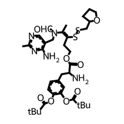 CC(=C(CCOC(=O)C(N)Cc1ccc(OC(=O)C(C)(C)C)c(OC(=O)C(C)(C)C)c1)SSCC1CCCO1)N(C=O)Cc1cnc(C)nc1N